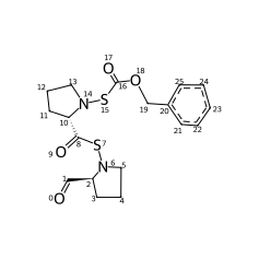 O=C[C@@H]1CCCN1SC(=O)[C@@H]1CCCN1SC(=O)OCc1ccccc1